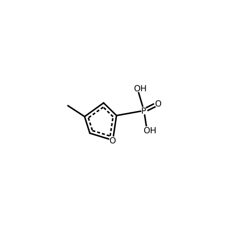 Cc1coc(P(=O)(O)O)c1